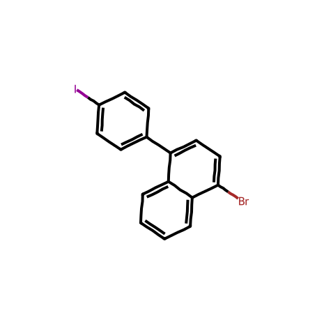 Brc1ccc(-c2ccc(I)cc2)c2ccccc12